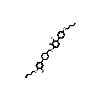 C=CCCOc1ccc(C2CCC(COc3ccc(-c4ccc(OCCCC)cc4)c(F)c3F)CC2)cc1F